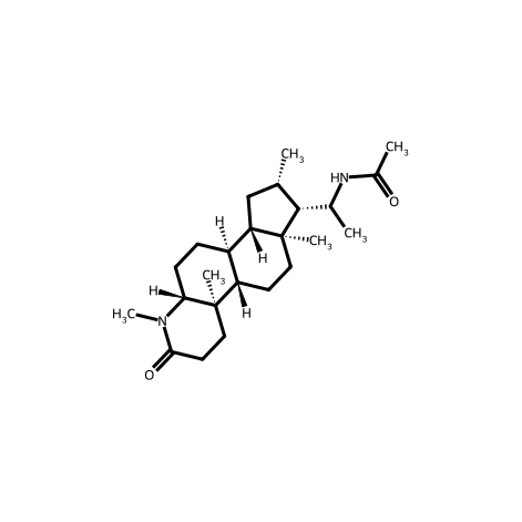 CC(=O)NC(C)[C@H]1[C@@H](C)C[C@H]2[C@@H]3CC[C@H]4N(C)C(=O)CC[C@]4(C)[C@H]3CC[C@@]21C